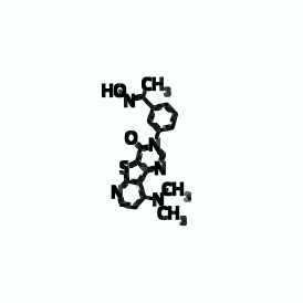 CC(=NO)c1cccc(-n2cnc3c(sc4nccc(N(C)C)c43)c2=O)c1